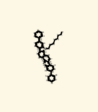 CCCCCCCCn1c2cc(-c3ccccc3)ccc2c2ccc3c(ccc4c5ccc(-c6ccccc6)cc5sc43)c21